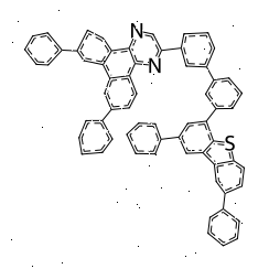 c1ccc(-c2ccc3sc4c(-c5cccc(-c6cccc(-c7cnc8c9ccc(-c%10ccccc%10)cc9c9cc(-c%10ccccc%10)ccc9c8n7)c6)c5)cc(-c5ccccc5)cc4c3c2)cc1